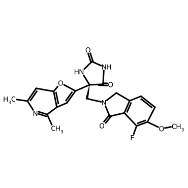 COc1ccc2c(c1F)C(=O)N(C[C@@]1(c3cc4c(C)nc(C)cc4o3)NC(=O)NC1=O)C2